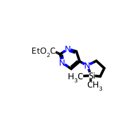 CCOC(=O)c1ncc(N2CCC[Si]2(C)C)cn1